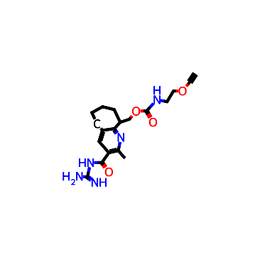 C#COCCNC(=O)OCC1CCCCc2cc(C(=O)NC(=N)N)c(C)nc21